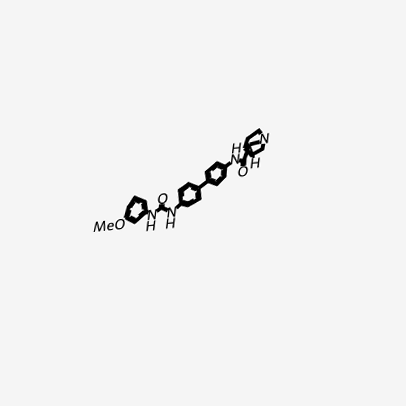 COc1cccc(NC(=O)Nc2ccc(-c3ccc(NC(=O)[C@H]4CN5CCC4CC5)cc3)cc2)c1